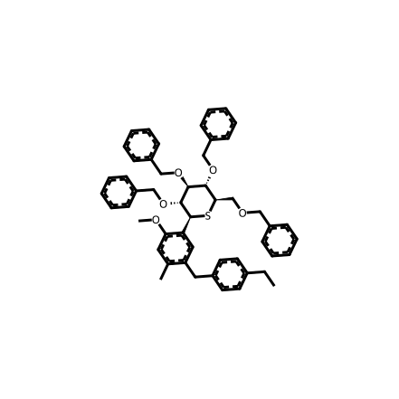 CCc1ccc(Cc2cc([C@@H]3S[C@H](COCc4ccccc4)[C@@H](OCc4ccccc4)[C@H](OCc4ccccc4)[C@H]3OCc3ccccc3)c(OC)cc2C)cc1